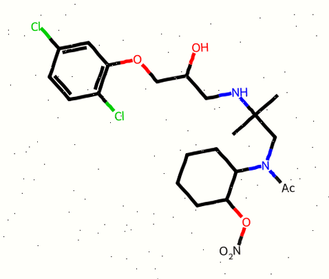 CC(=O)N(CC(C)(C)NCC(O)COc1cc(Cl)ccc1Cl)C1CCCCC1O[N+](=O)[O-]